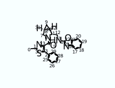 Cc1nc(C(=O)N2C[C@H]3C[C@H]3[C@H]2CNc2nc3ccccc3o2)c(-c2ccccc2)s1